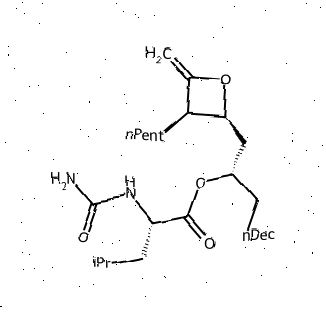 C=C1O[C@@H](C[C@H](CCCCCCCCCCC)OC(=O)[C@H](CC(C)C)NC(N)=O)C1CCCCC